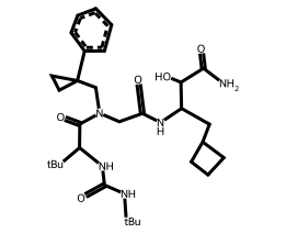 CC(C)(C)NC(=O)NC(C(=O)N(CC(=O)NC(CC1CCC1)C(O)C(N)=O)CC1(c2ccccc2)CC1)C(C)(C)C